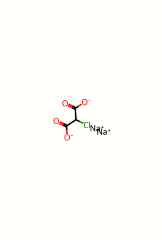 O=C([O-])C(Cl)C(=O)[O-].[Na+].[Na+]